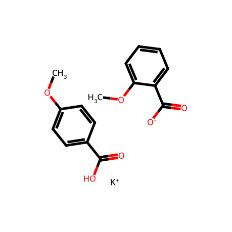 COc1ccc(C(=O)O)cc1.COc1ccccc1C(=O)[O-].[K+]